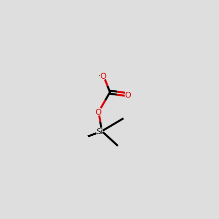 C[Si](C)(C)OC([O])=O